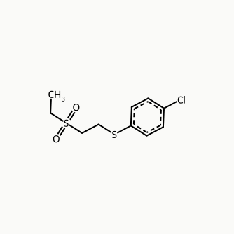 CCS(=O)(=O)CCSc1ccc(Cl)cc1